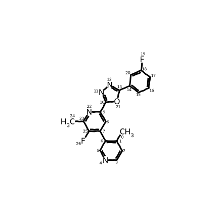 Cc1ccncc1-c1cc(-c2nnc(-c3cccc(F)c3)o2)nc(C)c1F